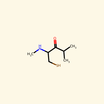 CNC(CS)C(=O)C(C)C